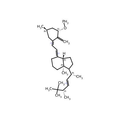 C=C1/C(=C\C=C2/CCC[C@]3(C)C([C@H](C)/C=C/[C@H](C)C(C)(C)C)CC[C@@H]23)C[C@@H](C)C[C@@H]1OP